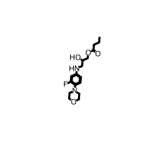 CCCC(=O)OCC(O)CNc1ccc(N2CCOCC2)c(F)c1